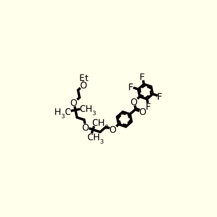 CCOCCOC(C)(C)CCOC(C)(C)CCOc1ccc(C(=O)Oc2c(F)c(F)cc(F)c2F)cc1